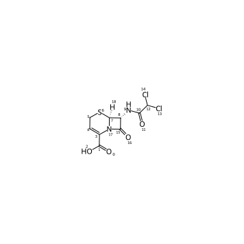 O=C(O)C1=CCS[C@H]2[C@H](NC(=O)C(Cl)Cl)C(=O)N12